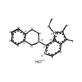 CCn1c(C)c(C)c2ccnc(N3CCc4ccccc4C3)c21.Cl